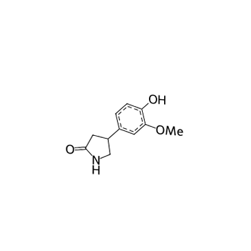 COc1cc(C2CNC(=O)C2)ccc1O